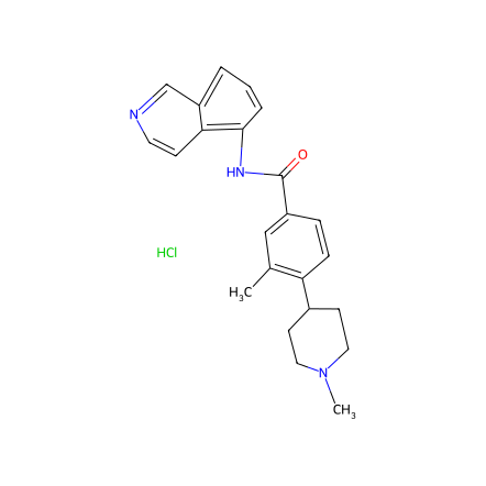 Cc1cc(C(=O)Nc2cccc3cnccc23)ccc1C1CCN(C)CC1.Cl